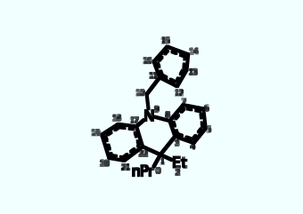 CCCC1(CC)c2ccccc2N(Cc2ccccc2)c2ccccc21